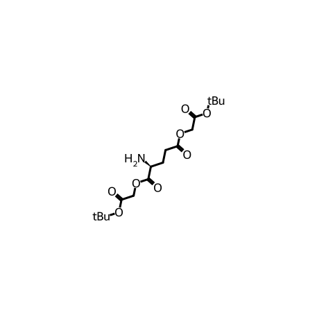 CC(C)(C)OC(=O)COC(=O)CC[C@H](N)C(=O)OCC(=O)OC(C)(C)C